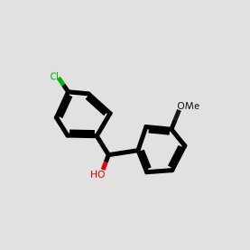 COc1cccc(C(O)c2ccc(Cl)cc2)c1